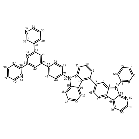 c1ccc(-n2c3cc(-c4cccc5c4c4ccccc4n5-c4ccc(-c5cc(-c6cccnc6)nc(-c6ccccn6)c5)cc4)ccc3c3cccnc32)cc1